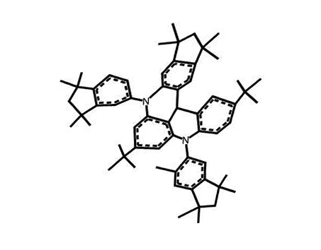 Cc1cc2c(cc1N1c3ccc(C(C)(C)C)cc3C3c4cc5c(cc4N(c4ccc6c(c4)C(C)(C)CC6(C)C)c4cc(C(C)(C)C)cc1c43)C(C)(C)CC5(C)C)C(C)(C)CC2(C)C